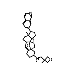 CN(CC1(C)COC1)C1CCC2=CC3CCC4(C)C(c5ccc6ccncc6c5)CC[C@H]4[C@@]34CC[C@]2(C1)O4